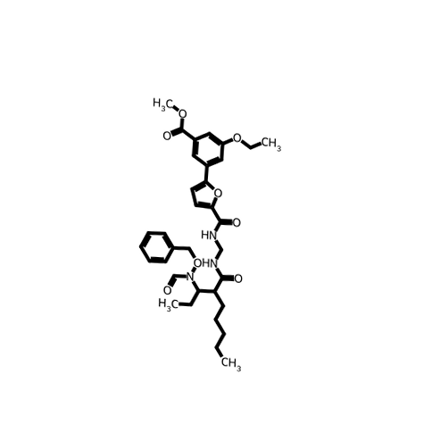 CCCCCC(C(=O)NCNC(=O)c1ccc(-c2cc(OCC)cc(C(=O)OC)c2)o1)C(CC)N(C=O)OCc1ccccc1